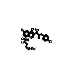 CC(=O)NCCNS(=O)(=O)c1cc(F)cc2c(O)c(C(=O)NCc3ccc(Cl)cc3)cnc12